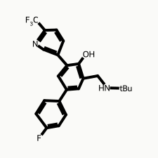 CC(C)(C)NCc1cc(-c2ccc(F)cc2)cc(-c2ccc(C(F)(F)F)nc2)c1O